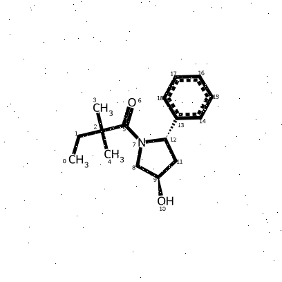 CCC(C)(C)C(=O)N1C[C@H](O)C[C@H]1c1ccccc1